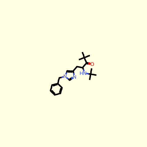 CC(C)(C)NC(Cc1cn(Cc2ccccc2)cn1)C(=O)C(C)(C)C